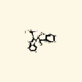 CC(=N)c1nc2ccccc2n1C(O)C(=O)c1ccccc1